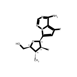 C[C@H]1[C@H](F)[C@H](c2cc(F)c3c(N)ncnn23)O[C@@H]1CO